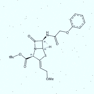 COCC=C1S[C@@H]2[C@H](NC(=O)COc3ccccc3)C(=O)N2[C@@H]1C(=O)OC(C)(C)C